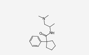 CC(CN(C)C)NC(=O)C1(c2ccccc2)CCCC1